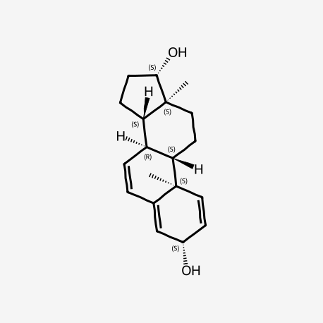 C[C@]12CC[C@H]3[C@@H](C=CC4=C[C@@H](O)C=C[C@@]43C)[C@@H]1CC[C@@H]2O